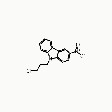 O=[N+]([O-])c1ccc2c(c1)c1ccccc1n2CCCCl